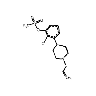 C=CCN1CCC(c2cccc(OS(=O)(=O)C(F)(F)F)c2Cl)CC1